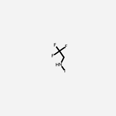 FC(F)(F)CNI